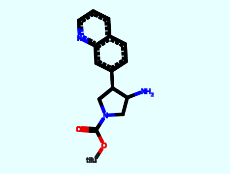 CC(C)(C)OC(=O)N1CC(N)C(c2ccc3cccnc3c2)C1